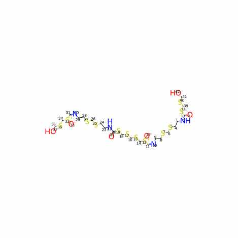 O=C(NCCSCSCC/N=C\[S+]([O-])CSCSCSC(=O)NCCSCSCC/N=C\[S+]([O-])CSCO)SCSCO